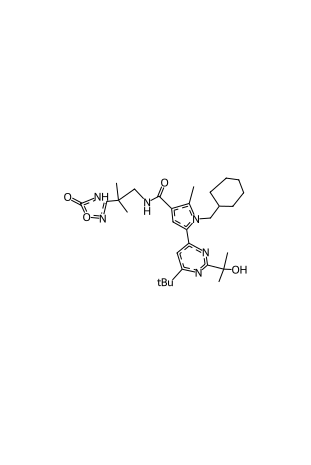 Cc1c(C(=O)NCC(C)(C)c2noc(=O)[nH]2)cc(-c2cc(C(C)(C)C)nc(C(C)(C)O)n2)n1CC1CCCCC1